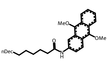 CCCCCCCCCCCCCCCC(=O)Nc1ccc2c(OC)c3ccccc3c(OC)c2c1